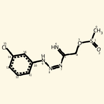 CS(=O)OCC(=N)/N=N\Nc1cccc(Cl)c1